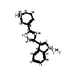 Cn1cc(-c2noc(C3=CCCNC3)n2)c2ccccc21